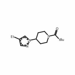 CCc1cnn(C2CCN(C(=O)C(C)(C)C)CC2)c1